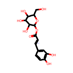 O=C(/C=C/c1ccc(O)c(O)c1)OC1OC(CO)C(O)C(O)C1O